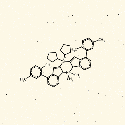 Cc1ccc(C)c(-c2cccc3c2C=C2[CH]3[Hf]([CH3])([CH3])[CH]3C(=Cc4c(-c5cc(C)ccc5C)cccc43)[Si]2(C2CCCC2)C2CCCC2)c1